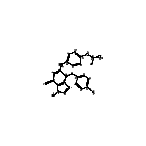 CCn1cnc2c1c(=O)nc(Nc1ccc(O[C@H](C)C(F)(F)F)nc1)n2Cc1ccc(Cl)cc1